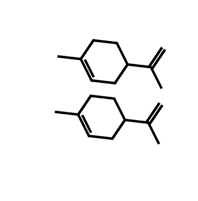 C=C(C)C1CC=C(C)CC1.C=C(C)C1CC=C(C)CC1